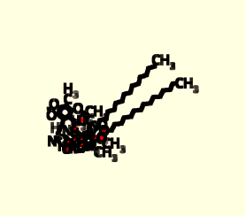 CCCCCCCCCCCCCCCC(=O)Oc1cc2c(cc1OC)[C@@]1(CS[C@@H]3c4c(OC(C)=O)c(C)c5c(c4[C@H](COC1=O)N1C3C3c4c(cc(C)c(OC)c4OC(=O)CCCCCCCCCCCCCCC)C[C@@H]([C@@H]1C#N)N3C)OCO5)NCC2